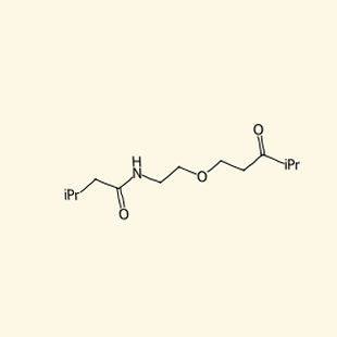 CC(C)CC(=O)NCCOCCC(=O)C(C)C